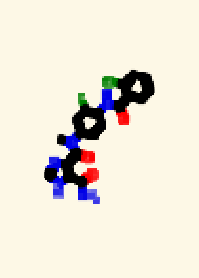 CN(C(=O)c1nc[nH]c1C(N)=O)c1ccc(NC(=O)c2ccccc2Cl)c(F)c1